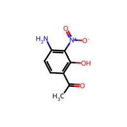 CC(=O)c1ccc(N)c([N+](=O)[O-])c1O